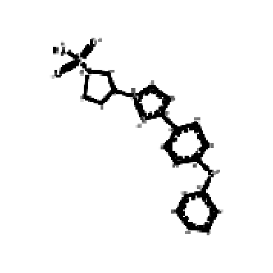 CS(=O)(=O)N1CCC(n2ccc(-c3ccc(Oc4ccccc4)cc3)n2)C1